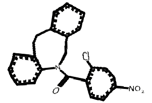 O=C(c1ccc([N+](=O)[O-])cc1Cl)N1Cc2ccccc2Cc2ccccc21